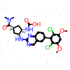 COc1cc(OC)c(Cl)c(-c2ccc3nc(N[C@H]4C[C@@H](C(=O)N(C)C)C[C@@H]4NC(=O)O)ncc3c2)c1Cl